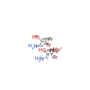 Br.Br.CCCC(Br)C(O)CN.CCCC(Br)C(O)CN